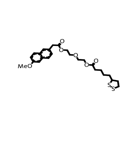 COc1ccc2cc(CC(=O)OCCOCCOC(=O)CCCCC3CCSS3)ccc2c1